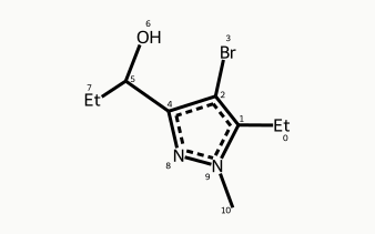 CCc1c(Br)c(C(O)CC)nn1C